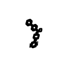 O=C(c1ccc(-c2ccccc2)cc1)N1CCN(c2cnccn2)CC1